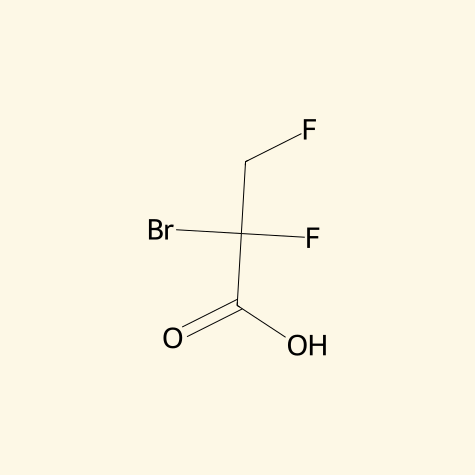 O=C(O)C(F)(Br)CF